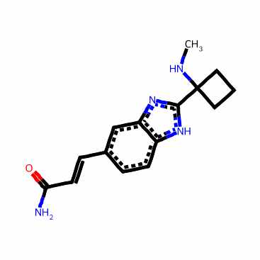 CNC1(c2nc3cc(/C=C/C(N)=O)ccc3[nH]2)CCC1